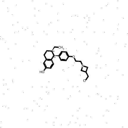 CC[C@@H]1CCc2cc(O)ccc2[C@@H]1c1ccc(OCCN2CC(CCl)C2)cc1